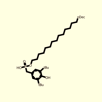 CCCCCCCCCCCCCCCCCCCCCCCCOP(=O)(O)Cc1cc(C(C)(C)C)c(O)c(C(C)(C)C)c1